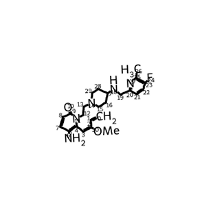 C=C/C(=C\c1c(N)ccc(=O)n1CCN1CCC(NCc2ccc(F)c(C)n2)CC1)OC